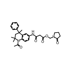 CC(=O)N1c2ccc(NC(=O)CC(=O)OCN3CCCC3=O)cc2C(C)(c2ccccc2)CC1(C)C